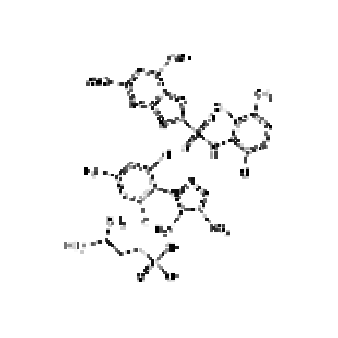 COc1cc(OC)n2nc(S(=O)(=O)Nc3c(Cl)ccc(C)c3Cl)nc2n1.CP(=O)(O)CCC(N)C(=O)O.Nc1c([N+](=O)[O-])cnn1-c1c(Cl)cc(C(F)(F)F)cc1Cl